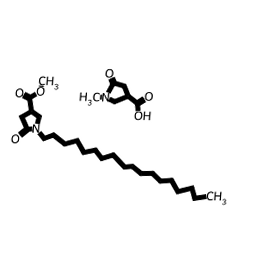 CCCCCCCCCCCCCCCCCCN1CC(C(=O)OC)CC1=O.CN1CC(C(=O)O)CC1=O